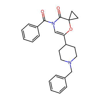 O=C(c1ccccc1)N1C=C(C2CCN(Cc3ccccc3)CC2)OC2(CC2)C1=O